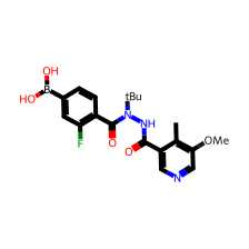 COc1cncc(C(=O)NN(C(=O)c2ccc(B(O)O)cc2F)C(C)(C)C)c1C